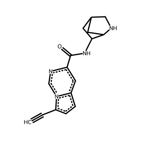 C#Cc1ccc2cc(C(=O)NC3CC4CNC3C4)ncn12